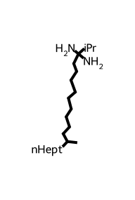 CCCCCCCC(C)CCCCCCCCCC(N)(N)C(C)C